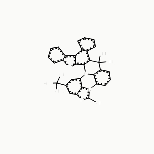 Cc1nc2cc(C(C)(C)C)cc3c2n1-c1cccc2c1B3c1c(c3ccccc3c3c1oc1ccccc13)C2(C)C